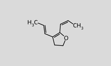 C/C=C\C1=C(/C=C/C)CCO1